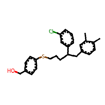 Cc1ccc(CC(CCCSc2ccc(CO)cc2)c2cccc(Cl)c2)cc1C